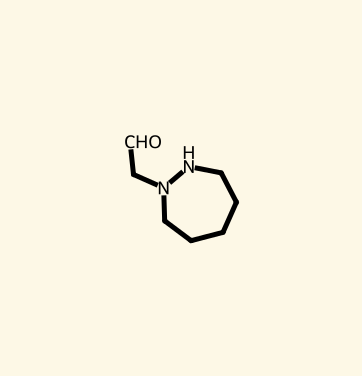 O=CCN1CCCCCN1